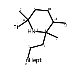 CCCCCCCCCC1(C)NC(C)(CC)CCC1C